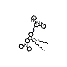 CCCCCCCCC1(CCCCCCCC)c2cc(/C=C/c3cc(-c4ccccn4)nc(-c4ccccn4)c3)ccc2-c2ccc(N(c3ccccc3)c3ccccc3)cc21